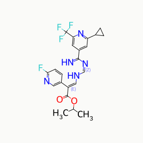 CC(C)OC(=O)/C(=C/N/C=N\C(=N)c1cc(C2CC2)nc(C(F)(F)F)c1)c1ccc(F)nc1